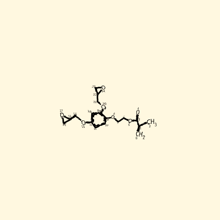 C=C(C)C(=O)OCCOc1ccc(OCC2CO2)cc1OCC1CO1